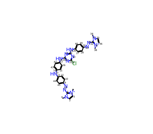 Cn1cc[n+](C)c1/N=N/c1ccc(Nc2ccc(Nc3nc(Cl)nc(Nc4ccc(/N=N/c5n(C)cc[n+]5C)cc4)n3)cc2)cc1